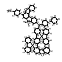 CC(C)(C)c1ccc(-c2cc3c(c4c2oc2ccccc24)-c2ccc(N(c4ccc(-c5ccccc5)cc4)c4ccc5c(c4)C4(c6ccccc6-c6ccccc64)c4cc6c(cc4-5)C4(c5ccccc5-c5ccccc54)c4ccc5oc7ccccc7c5c4-6)cc2C3(C)C)cc1